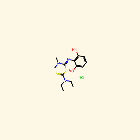 CCN(CC)C(=S)S/C(=N\c1c(O)cccc1O)N(C)C.Cl